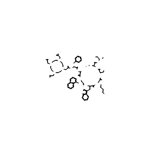 C[C@@H](O)[C@@H]1NC(=O)[C@H](CCCCN)NC(=O)C(Cc2c[nH]c3ccccc23)NC(=O)[C@H](Cc2cccc3ccccc23)NC(=O)C(NC(=O)[C@@H](Cc2ccccc2)NC(=O)CN2CCN(CC(=O)O)CCN(CC(=O)O)CCN(CC(=O)O)CC2)CSSCC(C(=O)N[C@H](CO)[C@@H](C)O)NC1=O